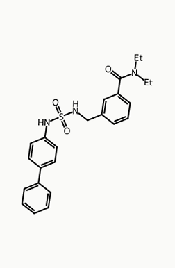 CCN(CC)C(=O)c1cccc(CNS(=O)(=O)Nc2ccc(-c3ccccc3)cc2)c1